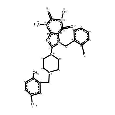 Cc1ccc(C)c(CN2CCN(c3nc4c(c(=O)n(O)c(=O)n4C)n3Cc3ccccc3F)CC2)c1